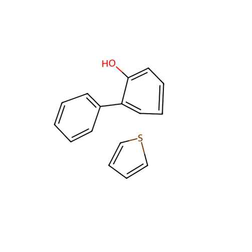 Oc1ccccc1-c1ccccc1.c1ccsc1